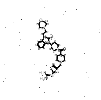 NC(N)=Nc1nc(CN2CCC(C(=O)N3CCC(n4c(=O)n(CCN5CCOCC5)c5ccccc54)CC3)CC2)cs1